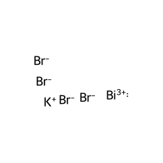 [Bi+3].[Br-].[Br-].[Br-].[Br-].[K+]